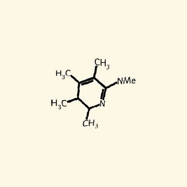 CNC1=NC(C)C(C)C(C)=C1C